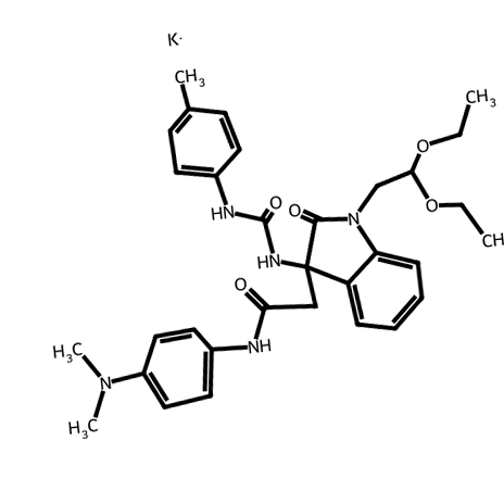 CCOC(CN1C(=O)C(CC(=O)Nc2ccc(N(C)C)cc2)(NC(=O)Nc2ccc(C)cc2)c2ccccc21)OCC.[K]